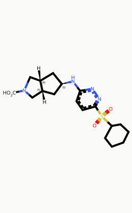 O=C(O)N1C[C@H]2C[C@H](Nc3ccc(S(=O)(=O)C4CCCCC4)nn3)C[C@H]2C1